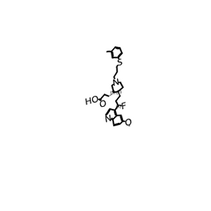 COc1ccc2nccc([C@H](F)CC[C@@H]3CCN(CCCSc4cccc(C)c4)C[C@H]3CCC(=O)O)c2c1